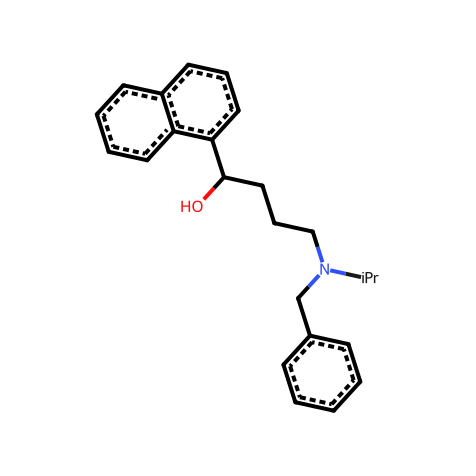 CC(C)N(CCCC(O)c1cccc2ccccc12)Cc1ccccc1